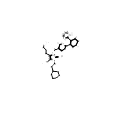 CCCCc1c(Cl)n(CCC2CCCCC2)c(=O)n1Cc1ccc(-c2ccccc2-c2nnn[nH]2)nc1